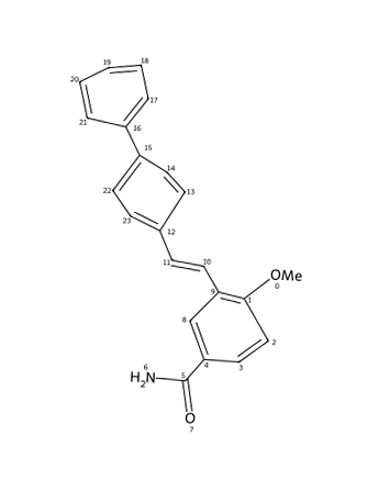 COc1ccc(C(N)=O)cc1C=Cc1ccc(-c2ccccc2)cc1